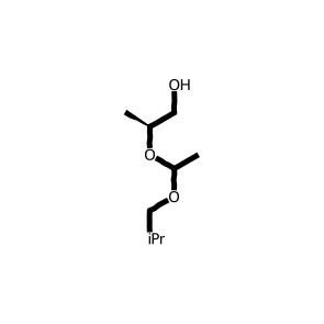 CC(C)COC(C)O[C@@H](C)CO